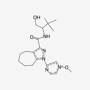 CO[n+]1ccnc(-n2nc(C(=O)NC(CO)C(C)(C)C)c3c2CCCCC3)c1